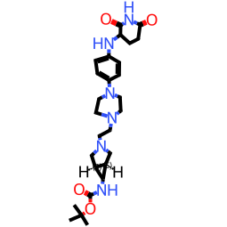 CC(C)(C)OC(=O)NC1[C@H]2CN(CCN3CCN(c4ccc(NC5CCC(=O)NC5=O)cc4)CC3)C[C@@H]12